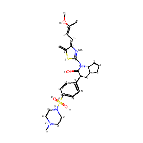 C=c1sc(NC(=O)[C@@H](CC2CCCC2)c2ccc(S(=O)(=O)N3CCN(C)CC3)cc2)n/c1=C/C=C(\C)OC